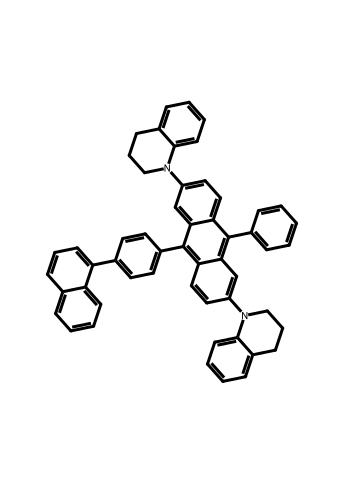 c1ccc(-c2c3ccc(N4CCCc5ccccc54)cc3c(-c3ccc(-c4cccc5ccccc45)cc3)c3ccc(N4CCCc5ccccc54)cc23)cc1